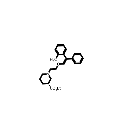 CCOC(=O)[C@@H]1CCCN(CCO/C=C(/c2ccccc2)c2ccccc2C)C1